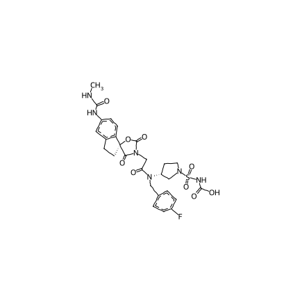 CNC(=O)Nc1ccc2c(c1)CC[C@@]21OC(=O)N(CC(=O)N(Cc2ccc(F)cc2)[C@@H]2CCN(S(=O)(=O)NC(=O)O)C2)C1=O